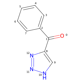 O=C(c1ccccc1)c1c[nH]nn1